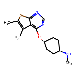 CN[C@H]1CC[C@H](Oc2ncnc3sc(C)c(C)c23)CC1